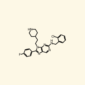 Fc1ccc(-c2nc3cnc(NCc4ccccc4Cl)nc3n2CCC2CCNCC2)cc1